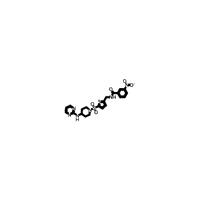 O=C(NCc1ccc(S(=O)(=O)N2CCC(Nc3ncccn3)CC2)s1)c1cccc([N+](=O)[O-])c1